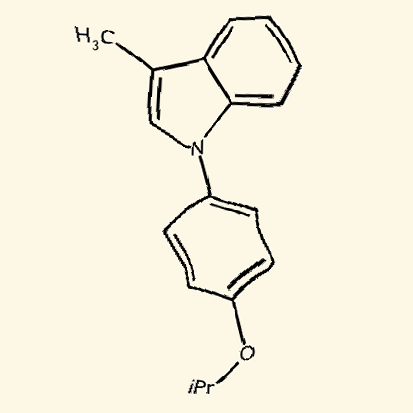 Cc1cn(-c2ccc(OC(C)C)cc2)c2ccccc12